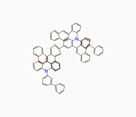 c1ccc(-c2ccc(N(c3ccccc3-c3ccc4ccccc4c3)c3ccc(-c4ccc5cc(-c6ccccc6N(c6cccc(-c7ccccc7)c6)c6ccccc6-c6ccc7ccccc7c6)c6ccccc6c5c4)cc3-c3cc4ccccc4c4ccccc34)cc2)cc1